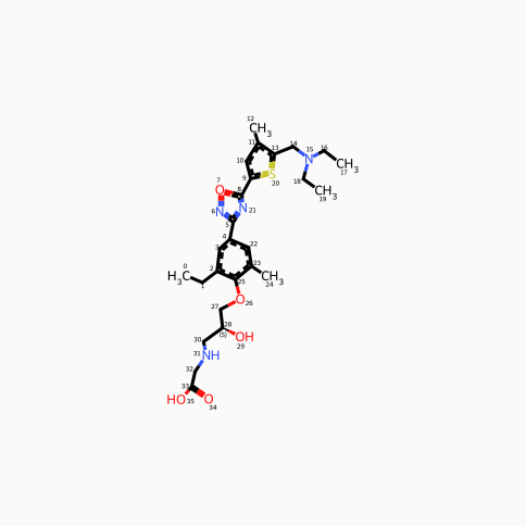 CCc1cc(-c2noc(-c3cc(C)c(CN(CC)CC)s3)n2)cc(C)c1OC[C@@H](O)CNCC(=O)O